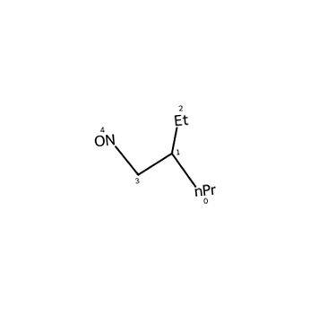 CCCC(CC)CN=O